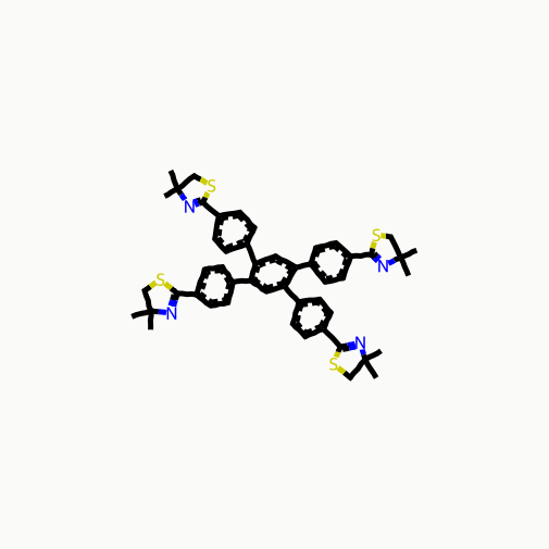 CC1(C)CSC(c2ccc(-c3cc(-c4ccc(C5=NC(C)(C)CS5)cc4)c(-c4ccc(C5=NC(C)(C)CS5)cc4)cc3-c3ccc(C4=NC(C)(C)CS4)cc3)cc2)=N1